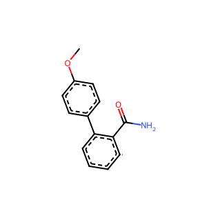 COc1ccc(-c2ccc[c]c2C(N)=O)cc1